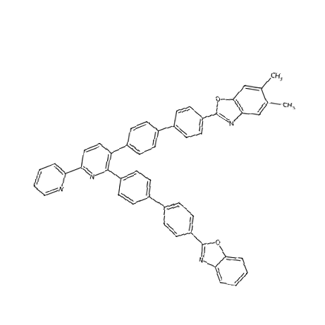 Cc1cc2nc(-c3ccc(-c4ccc(-c5ccc(-c6ccccn6)nc5-c5ccc(-c6ccc(-c7nc8ccccc8o7)cc6)cc5)cc4)cc3)oc2cc1C